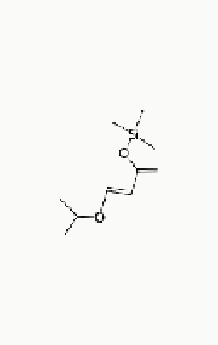 C=C(/C=C/OC(C)C)O[Si](C)(C)C